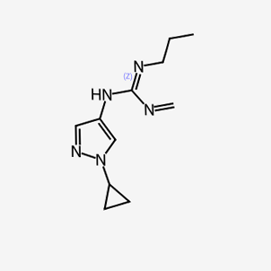 C=N/C(=N\CCC)Nc1cnn(C2CC2)c1